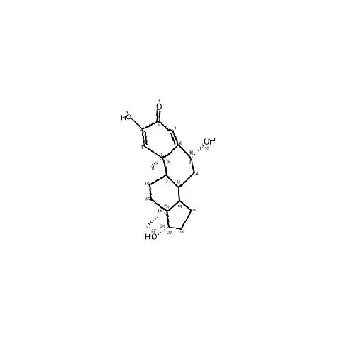 C[C@]12C=C(O)C(=O)C=C1[C@H](O)CC1C2CC[C@@]2(C)C1CC[C@@H]2O